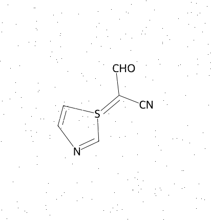 N#CC(C=O)=S1C=CN=C1